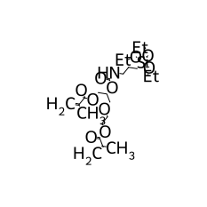 C=C(C)C(=O)OCCOCC(COC(=O)C(=C)C)OC(=O)NCCC[Si](OCC)(OCC)OCC